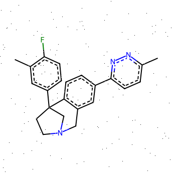 Cc1ccc(-c2ccc3c(c2)CN2CCC3(c3ccc(F)c(C)c3)C2)nn1